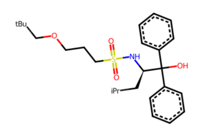 CC(C)C[C@@H](NS(=O)(=O)CCCOCC(C)(C)C)C(O)(c1ccccc1)c1ccccc1